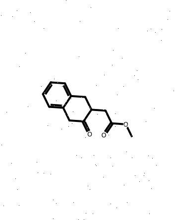 COC(=O)CC1Cc2ccccc2CC1=O